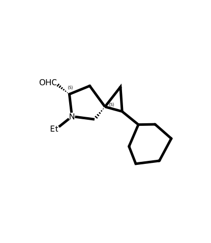 CCN1C[C@@]2(CC2C2CCCCC2)C[C@H]1C=O